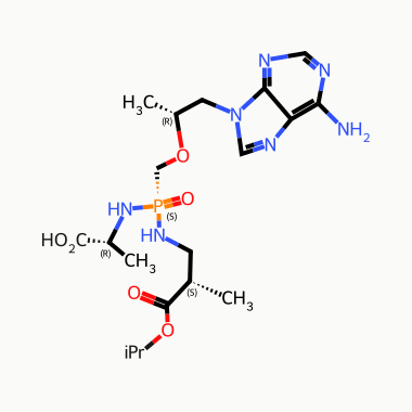 CC(C)OC(=O)[C@@H](C)CN[P@@](=O)(CO[C@H](C)Cn1cnc2c(N)ncnc21)N[C@H](C)C(=O)O